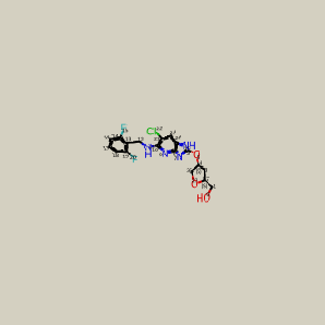 OC[C@@H]1C[C@H](Oc2nc3nc(NCc4c(F)cccc4F)c(Cl)cc3[nH]2)CO1